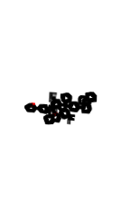 Fc1ccc2c(c1)C(c1ccccc1)(c1ccc(-c3cccc4c3oc3ccccc34)cc1)c1cc(F)cc(N(c3ccc(-c4ccccc4)cc3)c3cccc4ccccc34)c1-2